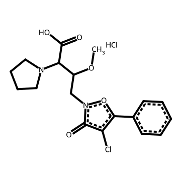 COC(Cn1oc(-c2ccccc2)c(Cl)c1=O)C(C(=O)O)N1CCCC1.Cl